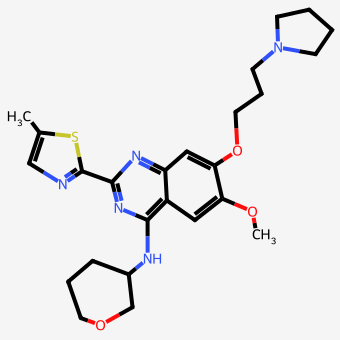 COc1cc2c(NC3CCCOC3)nc(-c3ncc(C)s3)nc2cc1OCCCN1CCCC1